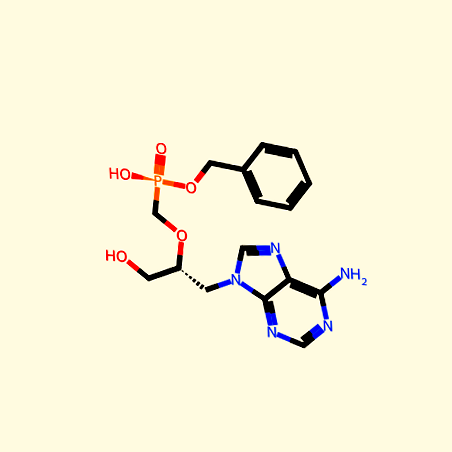 Nc1ncnc2c1ncn2C[C@H](CO)OC[P@@](=O)(O)OCc1ccccc1